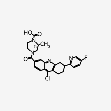 C[C@H]1CN(C(=O)c2ccc3c(Cl)c4c(nc3c2)CC(c2ccc(F)cn2)CC4)CCN1C(=O)O